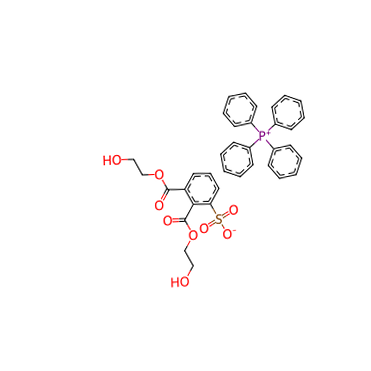 O=C(OCCO)c1cccc(S(=O)(=O)[O-])c1C(=O)OCCO.c1ccc([P+](c2ccccc2)(c2ccccc2)c2ccccc2)cc1